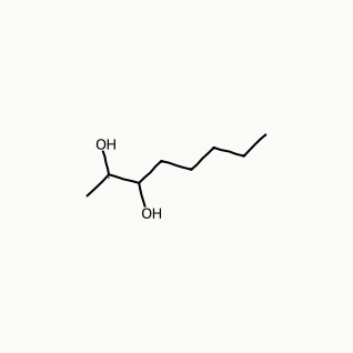 CCCCCC(O)[C](C)O